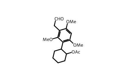 COc1cc(OC)c(C2CCCCC2OC(C)=O)c(OC)c1CC=O